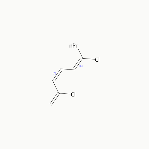 C=C(Cl)/C=C\C=C(\Cl)CCC